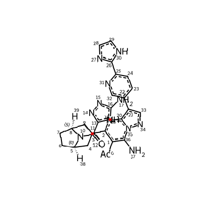 CC(=O)c1c(C2C[C@H]3CC[C@@H](C2)N3C(=O)c2nnc(N)[nH]2)nc2c(-c3ccc(-c4ncc[nH]4)nc3)cnn2c1N